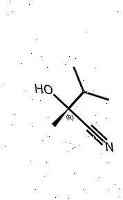 CC(C)[C@@](C)(O)C#N